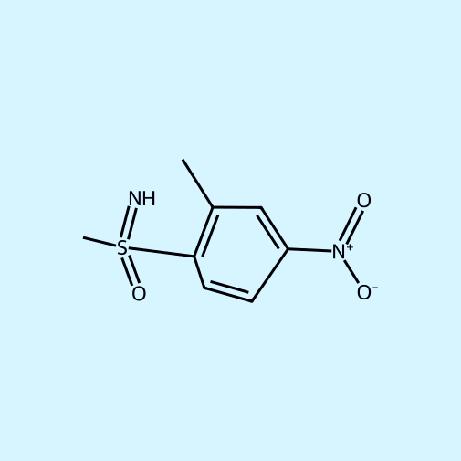 Cc1cc([N+](=O)[O-])ccc1S(C)(=N)=O